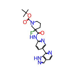 CC(C)(C)OC(=O)N1CCC[C@](F)(C(=O)Nc2ccc(-c3nccc4cn[nH]c34)cn2)C1